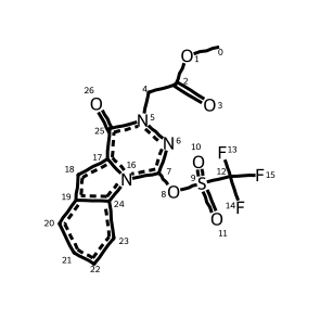 COC(=O)Cn1nc(OS(=O)(=O)C(F)(F)F)n2c(cc3ccccc32)c1=O